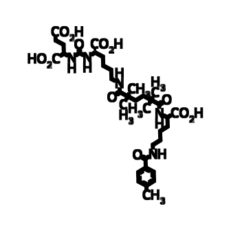 Cc1ccc(C(=O)NCCCCC(NC(=O)C(C)(C)CCC(C)(C)C(=O)NCCCC[C@H](NC(=O)NC(CCC(=O)O)C(=O)O)C(=O)O)C(=O)O)cc1